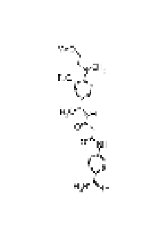 COCCN(C)c1ccc([C@H](C)NC(=O)CC(=O)Nc2ccc(C(=N)N)cc2)cc1C(F)(F)F